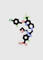 O=C(O)c1ccc2c(nc(CN3CCc4cc(C(F)(F)F)c(OCc5ccc(Cl)cc5F)nc4C3)n2C[C@@H]2CCO2)c1F